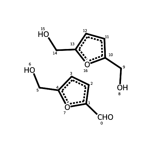 O=Cc1ccc(CO)o1.OCc1ccc(CO)o1